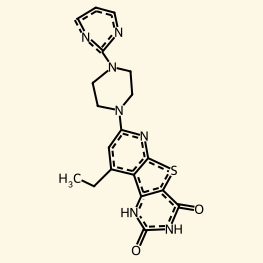 CCc1cc(N2CCN(c3ncccn3)CC2)nc2sc3c(=O)[nH]c(=O)[nH]c3c12